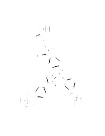 O=C(O)CCNC(=O)c1ccc(CN(c2ccc(OC(F)(F)F)cc2)c2nc(-c3ccc(OC(F)(F)F)cc3)cs2)cc1